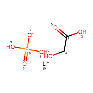 O=C(O)CO.O=P([O-])(O)O.[Li+]